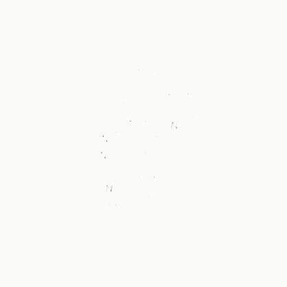 O/N=C(/c1n[nH]c2c1C=CC(c1ccccc1)(c1cscn1)C2)C1CC1